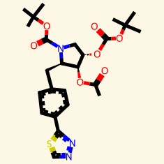 CC(=O)O[C@@H]1[C@@H](OC(=O)OC(C)(C)C)CN(C(=O)OC(C)(C)C)[C@@H]1Cc1ccc(-c2nncs2)cc1